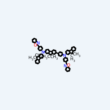 CC1(C)c2ccccc2-c2ccc(N(c3ccc(-c4ccc5c(c4)C(C)(C)c4cc(N(c6ccc(-c7nc8ccccc8o7)cc6)c6ccc7c(c6)C(C)(C)c6ccccc6-7)ccc4-5)cc3)c3ccc(-c4nc5ccccc5o4)cc3)cc21